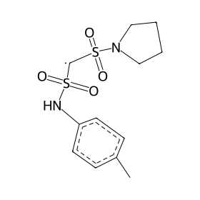 Cc1ccc(NS(=O)(=O)[CH]S(=O)(=O)N2CCCC2)cc1